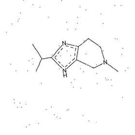 CC(C)c1nc2c([nH]1)CN(C)CC2